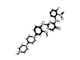 C=P(=O)c1c(F)cccc1Nc1nc(Nc2ccc(N3CCC(N4CCN(C)CC4)CC3)cc2OC)ncc1Cl